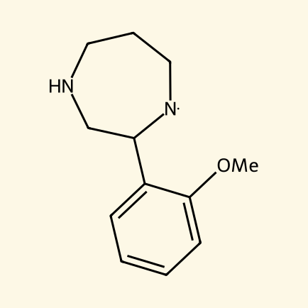 COc1ccccc1C1CNCCC[N]1